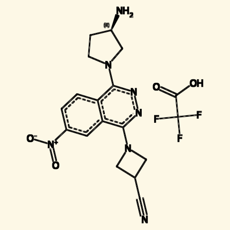 N#CC1CN(c2nnc(N3CC[C@@H](N)C3)c3ccc([N+](=O)[O-])cc23)C1.O=C(O)C(F)(F)F